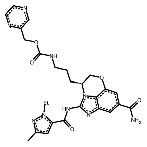 CCn1nc(C)cc1C(=O)Nc1nc2cc(C(N)=O)cc3c2n1[C@@H](CCCNC(=O)OCc1cnccn1)CO3